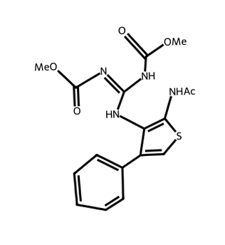 COC(=O)N=C(NC(=O)OC)Nc1c(-c2ccccc2)csc1NC(C)=O